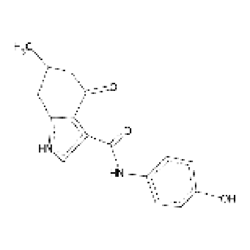 CC1CC(=O)c2c(C(=O)Nc3ccc(O)cc3)c[nH]c2C1